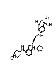 CN1CCC(Nc2cccc3c2cc(C#CCNc2ccc(C(C)(C)C#N)nc2)n3C2CCCC2)CC1